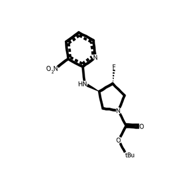 CC(C)(C)OC(=O)N1C[C@@H](F)[C@H](Nc2ncccc2[N+](=O)[O-])C1